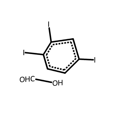 Ic1ccc(I)c(I)c1.O=CO